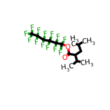 CC(C)CC(C(=O)OC(F)(F)C(F)(F)C(F)(F)C(F)(F)C(F)(F)C(F)(F)F)C(C)C